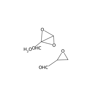 O.O=CC12OC1O2.O=CC1CO1